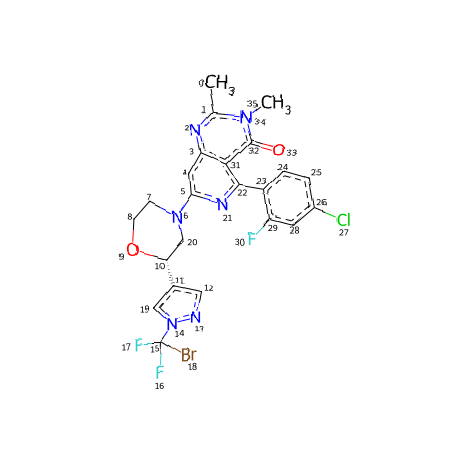 Cc1nc2cc(N3CCO[C@@H](c4cnn(C(F)(F)Br)c4)C3)nc(-c3ccc(Cl)cc3F)c2c(=O)n1C